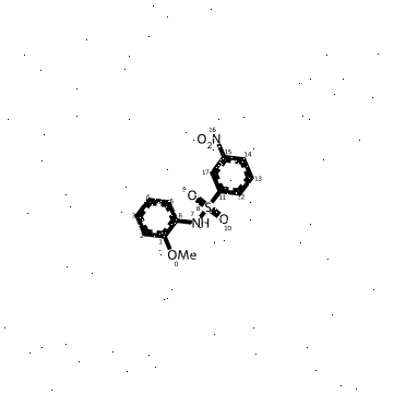 COc1ccccc1NS(=O)(=O)c1cccc([N+](=O)[O-])c1